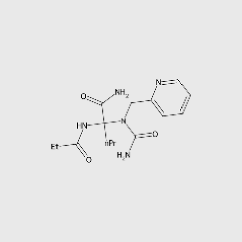 CCCC(NC(=O)CC)(C(N)=O)N(Cc1ccccn1)C(N)=O